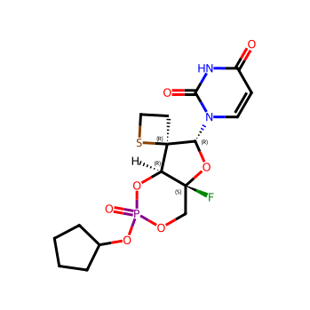 O=c1ccn([C@@H]2O[C@]3(F)COP(=O)(OC4CCCC4)O[C@H]3[C@]23CCS3)c(=O)[nH]1